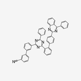 N#Cc1cccc(-c2cccc(-c3nc(-c4ccccc4)nc(-c4ccccc4-c4ccc(-c5nc(-c6ccccc6)c6ccccc6n5)cc4)n3)c2)c1